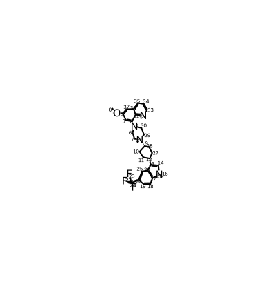 COc1cc(N2CCN([C@H]3CC[C@H](c4cn(C)c5ccc(C(F)(F)F)cc54)CC3)CC2)c2ncccc2c1